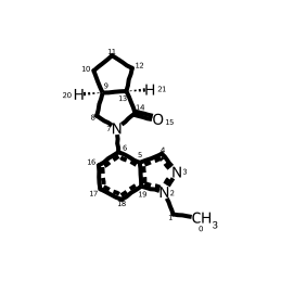 CCn1ncc2c(N3C[C@H]4CCC[C@H]4C3=O)cccc21